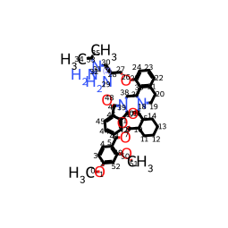 COc1ccc(COC(=O)C2CCCCC2C(=O)N2CCc3cccc(OC/C(N)=C/N(N)C(C)C)c3C2CN2Cc3ccccc3C2=O)c(OC)c1